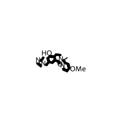 COc1ccnc([C@H](C)N2CCc3c(O)cc(Cn4ccnc4C)cc3C2=O)c1